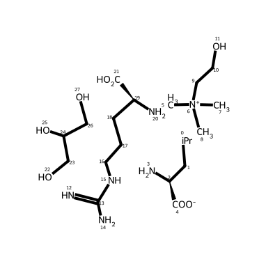 CC(C)C[C@H](N)C(=O)[O-].C[N+](C)(C)CCO.N=C(N)NCCC[C@H](N)C(=O)O.OCC(O)CO